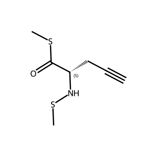 C#CC[C@H](NSC)C(=O)SC